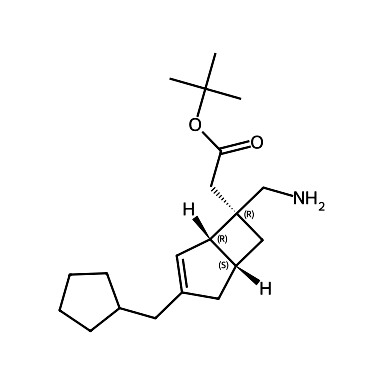 CC(C)(C)OC(=O)C[C@]1(CN)C[C@@H]2CC(CC3CCCC3)=C[C@@H]21